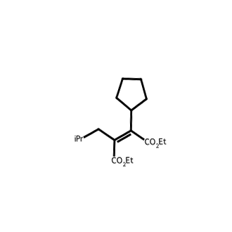 CCOC(=O)/C(CC(C)C)=C(\C(=O)OCC)C1CCCC1